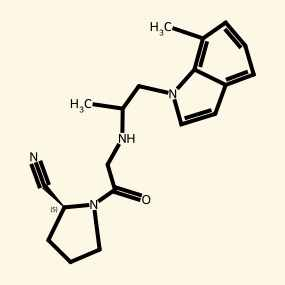 Cc1cccc2ccn(CC(C)NCC(=O)N3CCC[C@H]3C#N)c12